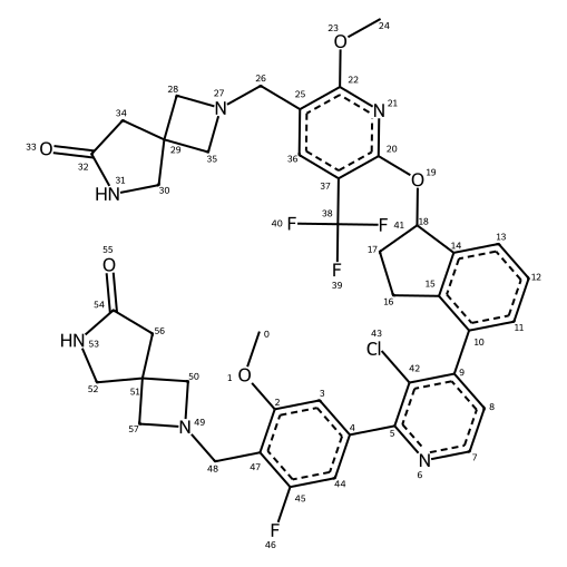 COc1cc(-c2nccc(-c3cccc4c3CCC4Oc3nc(OC)c(CN4CC5(CNC(=O)C5)C4)cc3C(F)(F)F)c2Cl)cc(F)c1CN1CC2(CNC(=O)C2)C1